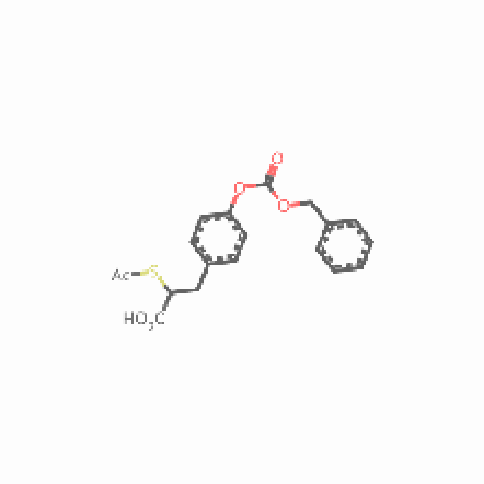 CC(=O)SC(Cc1ccc(OC(=O)OCc2ccccc2)cc1)C(=O)O